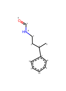 CC(CCNC=O)c1ccccc1